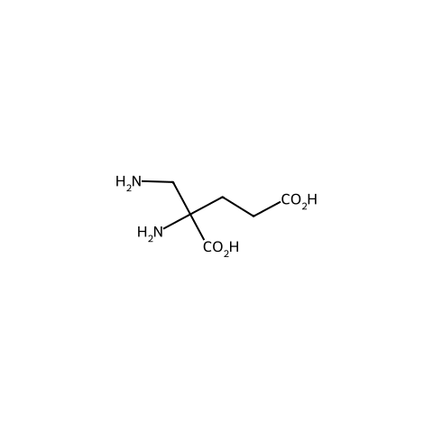 NCC(N)(CCC(=O)O)C(=O)O